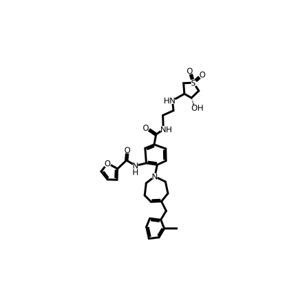 Cc1ccccc1CC1=CCCN(c2ccc(C(=O)NCCNC3CS(=O)(=O)C[C@@H]3O)cc2NC(=O)c2ccco2)CC1